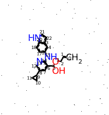 C=CCOC(O)c1cc(C2CC2)cnc1Nc1ccc2[nH]ccc2c1